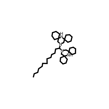 CCCCCCCCCCCCC(N1CC2(CCCCC2)NC2(CCCCC2)C1)N1CC2(CCCCC2)NC2(CCCCC2)C1